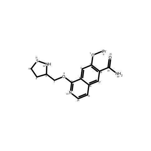 CC(C)Oc1cc2c(OCC3CCSN3)nccc2cc1C(N)=O